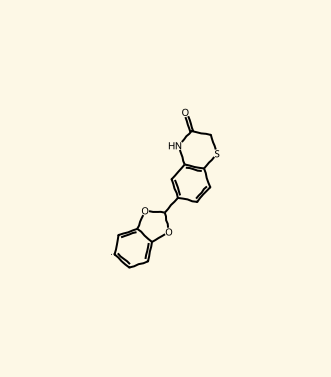 O=C1CSc2ccc(C3Oc4c[c]ccc4O3)cc2N1